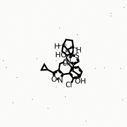 OCCc1csc([C@@]2(O)[C@@H]3CC[C@H]2C[C@@H](OCc2c(-c4c(Cl)cccc4Cl)noc2C2CC2)C3)n1